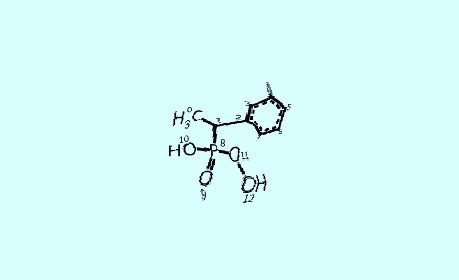 CC(c1ccccc1)P(=O)(O)OO